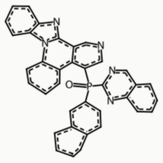 O=P(c1ccc2ccccc2c1)(c1ncc2ccccc2n1)c1cncc2c1c1ccccc1n1c3ccccc3nc21